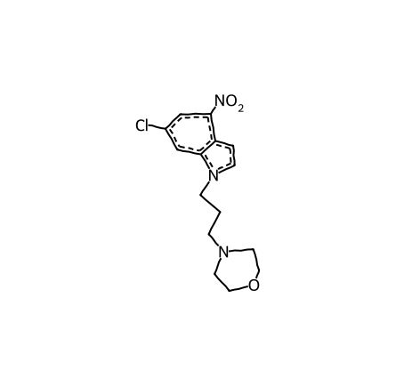 O=[N+]([O-])c1cc(Cl)cc2c1ccn2CCCN1CCOCC1